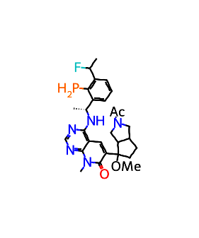 COC1(c2cc3c(N[C@H](C)c4cccc(C(C)F)c4P)ncnc3n(C)c2=O)CCC2CN(C(C)=O)CC21